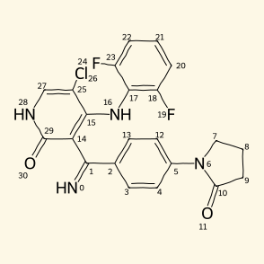 N=C(c1ccc(N2CCCC2=O)cc1)c1c(Nc2c(F)cccc2F)c(Cl)c[nH]c1=O